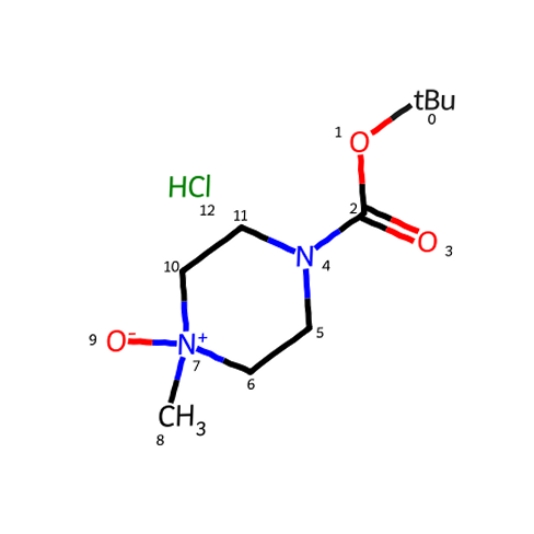 CC(C)(C)OC(=O)N1CC[N+](C)([O-])CC1.Cl